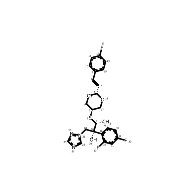 C[C@@H](S[C@H]1CO[C@H](/C=C/c2ccc(F)cc2)OC1)[C@](O)(Cn1cncn1)c1ccc(F)cc1F